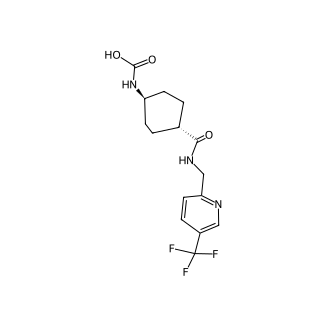 O=C(O)N[C@H]1CC[C@H](C(=O)NCc2ccc(C(F)(F)F)cn2)CC1